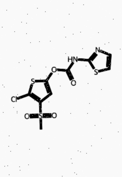 CS(=O)(=O)c1cc(OC(=O)Nc2nccs2)sc1Cl